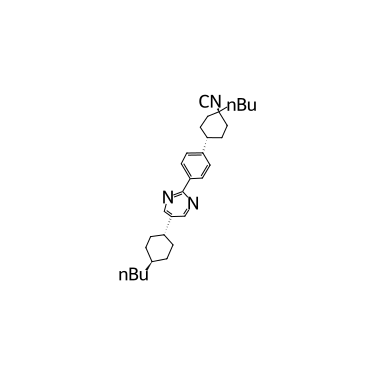 CCCC[C@H]1CC[C@H](c2cnc(-c3ccc([C@H]4CC[C@@](C#N)(CCCC)CC4)cc3)nc2)CC1